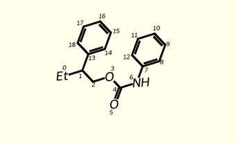 CCC(COC(=O)Nc1ccccc1)c1ccccc1